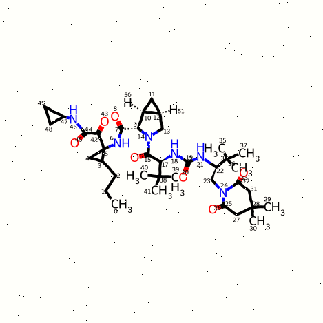 CCCC1CC1(NC(=O)[C@@H]1[C@H]2C[C@H]2CN1C(=O)[C@@H](NC(=O)N[C@H](CN1C(=O)CC(C)(C)CC1=O)C(C)(C)C)C(C)(C)C)C(=O)C(=O)NC1CC1